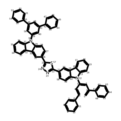 C=C(/C=C(\C=C\c1ccccc1)n1c2ccccc2c2cc(-c3nnc(-c4ccc5c(c4)c4ccccc4n5-c4cc(-c5ccccc5)cc(-c5ccccc5)c4)s3)ccc21)c1ccccc1